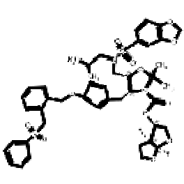 CC(C)CN(C[C@H]1OC(C)(C)N(C(=O)O[C@H]2CO[C@H]3OCC[C@H]32)[C@H]1Cc1ccc(OCc2ccccc2CS(=O)(=O)c2ccccc2)cc1)S(=O)(=O)c1ccc2c(c1)OCO2